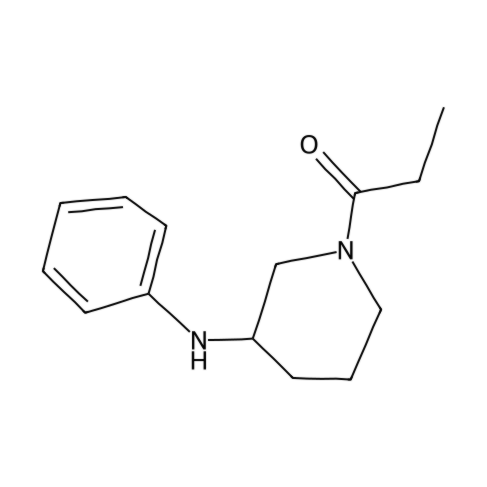 CCC(=O)N1CCCC(Nc2ccccc2)C1